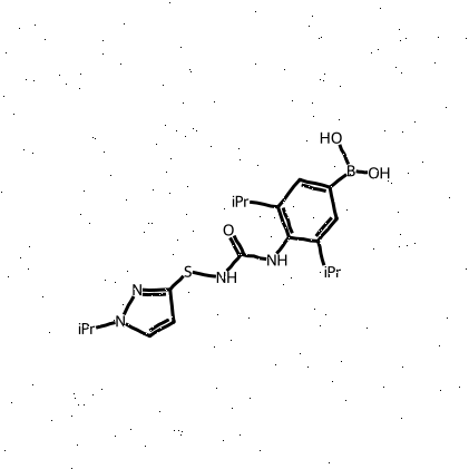 CC(C)c1cc(B(O)O)cc(C(C)C)c1NC(=O)NSc1ccn(C(C)C)n1